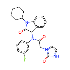 O=C1C(N(C(=O)Cn2cc[nH]c2=O)c2cccc(F)c2)c2ccccc2N1C1CCCCC1